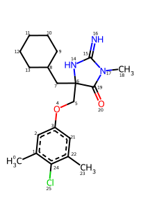 Cc1cc(OCC2(CC3CCCCC3)NC(=N)N(C)C2=O)cc(C)c1Cl